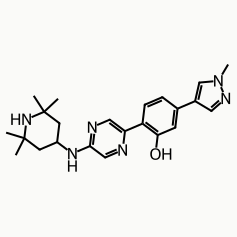 Cn1cc(-c2ccc(-c3cnc(NC4CC(C)(C)NC(C)(C)C4)cn3)c(O)c2)cn1